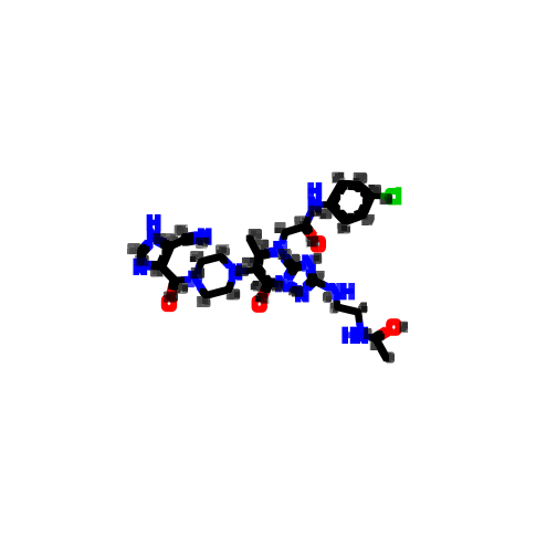 CC(=O)NCCNc1nc2n(CC(=O)Nc3ccc(Cl)cc3)c(C)c(N3CCN(C(=O)c4nc[nH]c4C#N)CC3)c(=O)n2n1